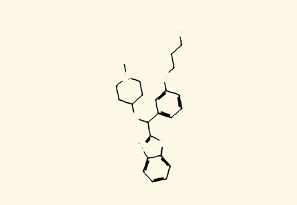 CN1CCC(OC(c2cccc(OCCCF)c2)c2nc3ccccc3s2)CC1